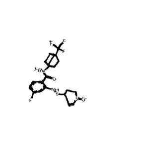 O=C(NC12CCC(C(F)(F)F)(CC1)CC2)c1ccc(F)cc1NSC1CC[S+]([O-])CC1